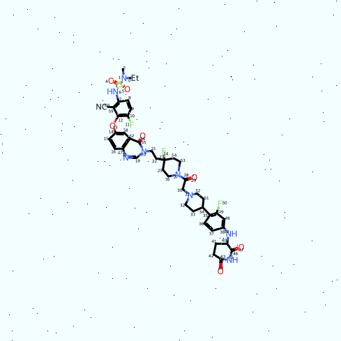 CCN(C)S(=O)(=O)Nc1ccc(F)c(Oc2ccc3ncn(CCC4(F)CCN(C(=O)CN5CCC(c6ccc(NC7CCC(=O)NC7=O)cc6F)CC5)CC4)c(=O)c3c2)c1C#N